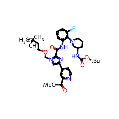 COC(=O)c1cc(-c2cn(COCC[Si](C)(C)C)c(C(=O)Nc3cccc(F)c3N3CCCC(NC(=O)OC(C)(C)C)C3)n2)ccn1